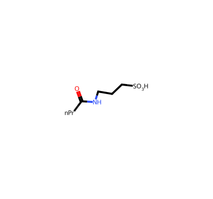 CCCC(=O)NCCCS(=O)(=O)O